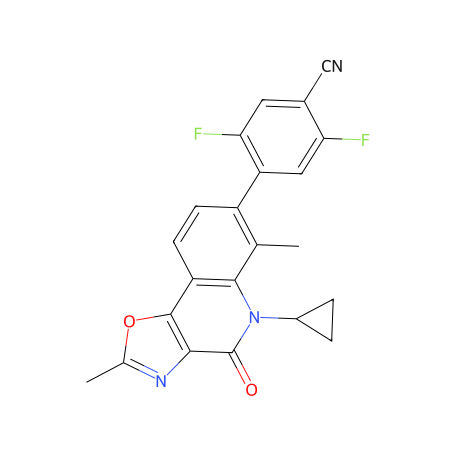 Cc1nc2c(=O)n(C3CC3)c3c(C)c(-c4cc(F)c(C#N)cc4F)ccc3c2o1